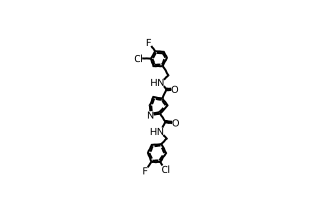 O=C(NCc1ccc(F)c(Cl)c1)c1ccnc(C(=O)NCc2ccc(F)c(Cl)c2)c1